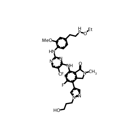 CCOPCCc1ccc(Nc2ncc(C(F)(F)F)c(Nc3cc(F)c(-c4cnn(CCCO)c4)c4c3C(=O)N(C)C4)n2)c(OC)c1